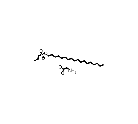 CCCCCCCCCCCCCCCCCCOS(=O)(=O)CCC.NCC(O)O